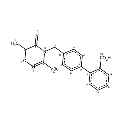 CCCCC1=NOC(C)C(=O)N1Cc1ccc(-c2ccccc2C(=O)O)cc1